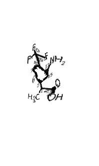 CC(C(=O)O)c1ccc(C(F)(F)F)c(N)c1